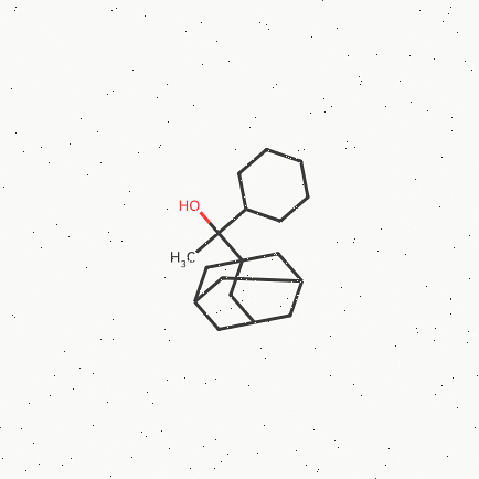 CC(O)(C1CCCCC1)C12CC3CC(CC(C3)C1)C2